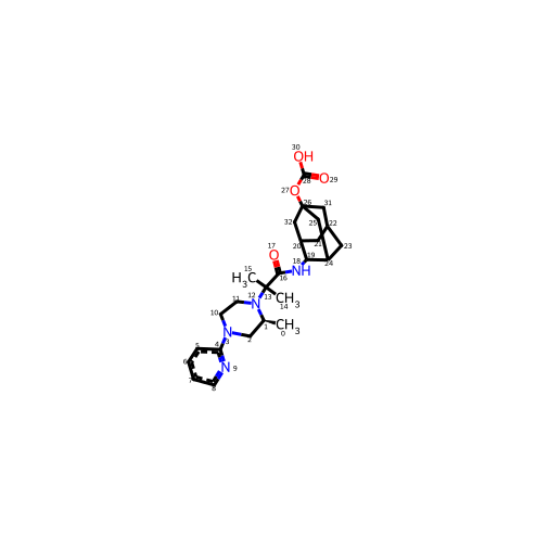 C[C@H]1CN(c2ccccn2)CCN1C(C)(C)C(=O)NC1C2CC3CC1CC(OC(=O)O)(C3)C2